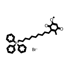 COC1=CC(=O)C(C)=C(CCCCCCCCCC[P+](c2ccccc2)(c2ccccc2)c2ccccc2)C1=O.[Br-]